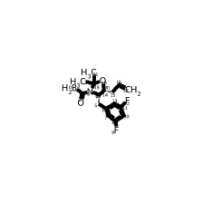 BC(=O)N1[C@@H](Cc2cc(F)cc(F)c2)[C@@H](CC=C)OC1(C)C